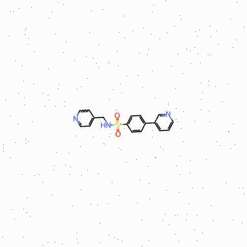 O=S(=O)(NCc1ccncc1)c1ccc(-c2cccnc2)cc1